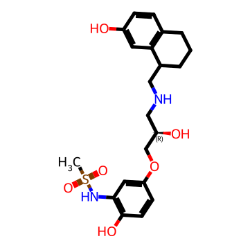 CS(=O)(=O)Nc1cc(OC[C@H](O)CNCC2CCCc3ccc(O)cc32)ccc1O